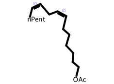 CCCCC/C=C\C/C=C\CCCCCCOC(C)=O